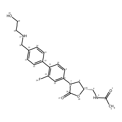 CC(=O)NC[C@H]1CN(c2ccc(-c3ccc(CNCCO)cc3)c(F)c2)C(=O)O1